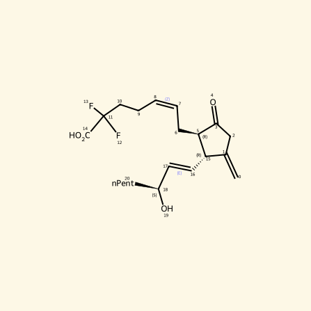 C=C1CC(=O)[C@H](C/C=C\CCC(F)(F)C(=O)O)[C@H]1/C=C/[C@@H](O)CCCCC